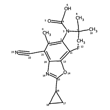 Cc1c(N(C(=O)O)C(C)(C)C)c(F)c2oc(C3CC3)nc2c1C#N